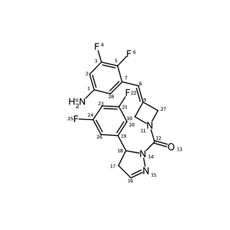 Nc1cc(F)c(F)c(C=C2CN(C(=O)N3N=CCC3c3cc(F)cc(F)c3)C2)c1